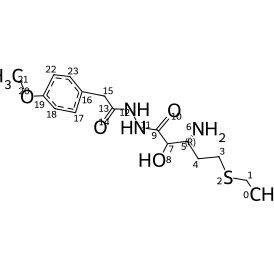 CCSCC[C@@H](N)C(O)C(=O)NNC(=O)Cc1ccc(OC)cc1